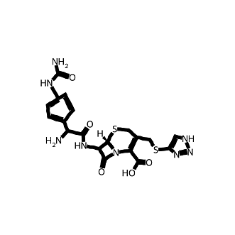 NC(=O)Nc1ccc(C(N)C(=O)NC2C(=O)N3C(C(=O)O)=C(CSc4c[nH]nn4)CS[C@@H]23)cc1